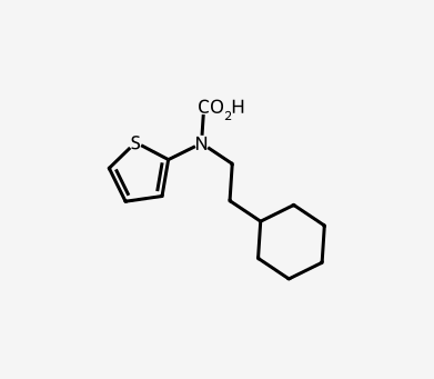 O=C(O)N(CCC1CCCCC1)c1cccs1